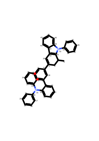 CC1CC(c2cccc(-c3ccccc3N(c3ccccc3)c3ccccc3)c2)=Cc2c1n(-c1ccccc1)c1ccccc21